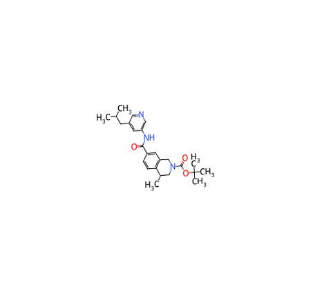 CC(C)Cc1cncc(NC(=O)c2ccc3c(c2)CN(C(=O)OC(C)(C)C)CC3C)c1